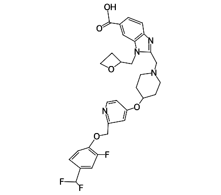 O=C(O)c1ccc2nc(CN3CCC(Oc4ccnc(COc5ccc(C(F)F)cc5F)c4)CC3)n(CC3CCO3)c2c1